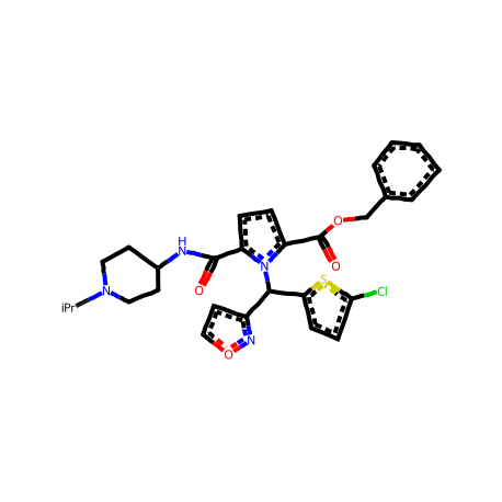 CC(C)N1CCC(NC(=O)c2ccc(C(=O)OCc3ccccc3)n2C(c2ccon2)c2ccc(Cl)s2)CC1